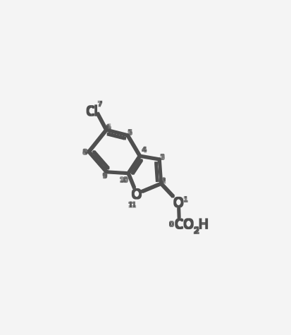 O=C(O)Oc1cc2cc(Cl)ccc2o1